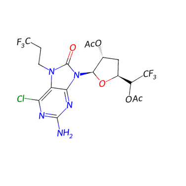 CC(=O)OC([C@@H]1C[C@@H](OC(C)=O)[C@H](n2c(=O)n(CCC(F)(F)F)c3c(Cl)nc(N)nc32)O1)C(F)(F)F